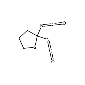 O=C=NC1(N=C=O)CCCS1